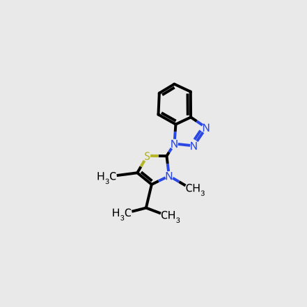 CC1=C(C(C)C)N(C)C(n2nnc3ccccc32)S1